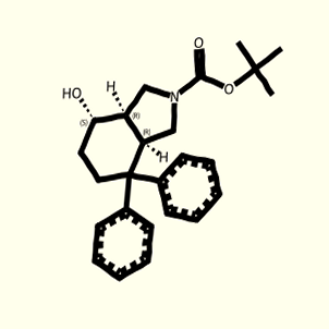 CC(C)(C)OC(=O)N1C[C@H]2[C@@H](C1)C(c1ccccc1)(c1ccccc1)CC[C@@H]2O